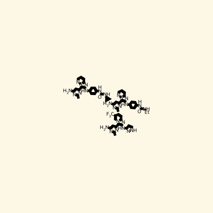 CCNC(=O)Nc1ccc(Nc2nc3cccnn3c2-c2cc(N)nc(C)n2)cc1.Cc1nc(N)cc(-c2c(Nc3cc[nH]n3)nc3ccc(C(F)(F)F)cn23)n1.Cc1nc(N)cc(-c2c(Nc3ccc(NC(=O)NC4CC4)cc3)nc3cccnn23)n1